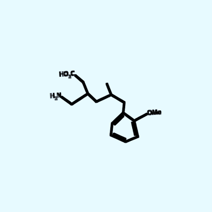 COc1ccccc1CC(C)CC(CN)CC(=O)O